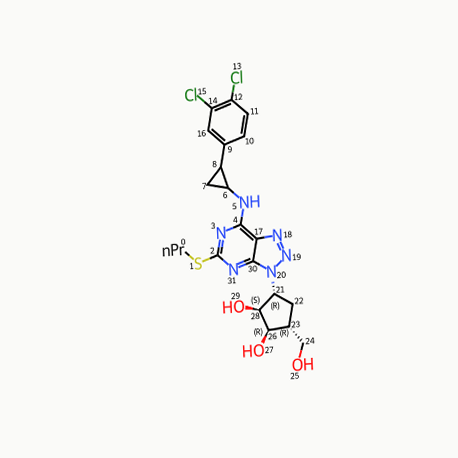 CCCSc1nc(NC2CC2c2ccc(Cl)c(Cl)c2)c2nnn([C@@H]3C[C@H](CO)[C@@H](O)[C@H]3O)c2n1